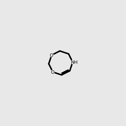 C1=C\OCOCCN/1